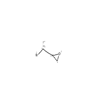 C[C@@H](Br)C1CO1